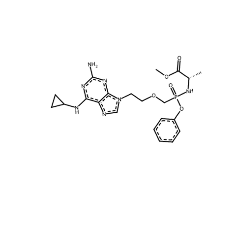 COC(=O)[C@H](C)NP(=O)(COCCn1cnc2c(NC3CC3)nc(N)nc21)Oc1ccccc1